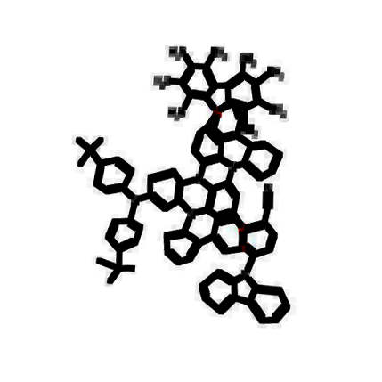 Bc1c(B)c(B)c2c(c1B)c1c(B)c(B)c(B)c(B)c1n2-c1ccc2c(c1)N(c1ccccc1-c1ccccc1)c1cc(-c3cc(-n4c5ccccc5c5ccccc54)ccc3C#N)cc3c1B2c1ccc(N(c2ccc(C(C)(C)C)cc2)c2ccc(C(C)(C)C)cc2)cc1N3c1ccccc1-c1ccccc1